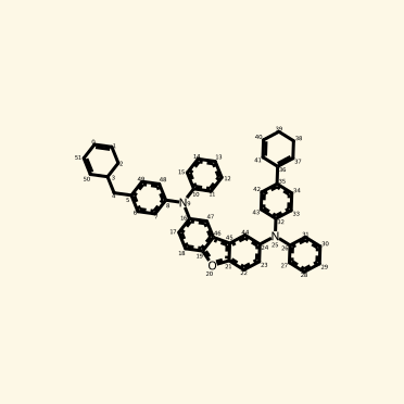 C1=CCC(Cc2ccc(N(c3ccccc3)c3ccc4oc5ccc(N(c6ccccc6)c6ccc(C7=CCCC=C7)cc6)cc5c4c3)cc2)C=C1